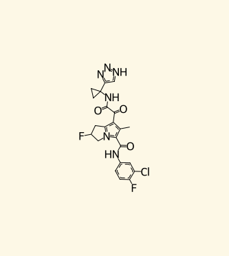 Cc1c(C(=O)C(=O)NC2(c3c[nH]nn3)CC2)c2n(c1C(=O)Nc1ccc(F)c(Cl)c1)CC(F)C2